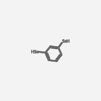 [SeH]c1cccc([SeH])c1